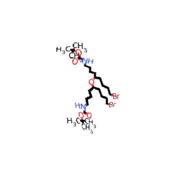 CC(C)(C)OC(=O)NCCCCC(CCCCBr)OC(CCCCBr)CCCCNC(=O)OC(C)(C)C